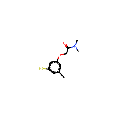 Cc1cc(S)cc(OCC(=O)N(C)C)c1